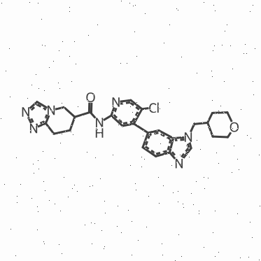 O=C(Nc1cc(-c2ccc3ncn(CC4CCOCC4)c3c2)c(Cl)cn1)C1CCc2nncn2C1